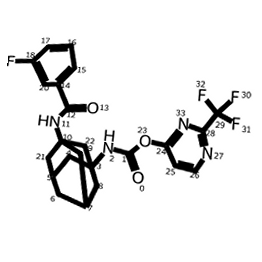 O=C(NC12CC3CC(C1)CC(NC(=O)c1cccc(F)c1)(C3)C2)Oc1ccnc(C(F)(F)F)n1